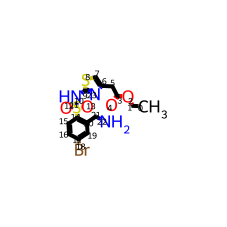 CCOC(=O)Cc1csc(NS(=O)(=O)c2ccc(Br)cc2CN)n1